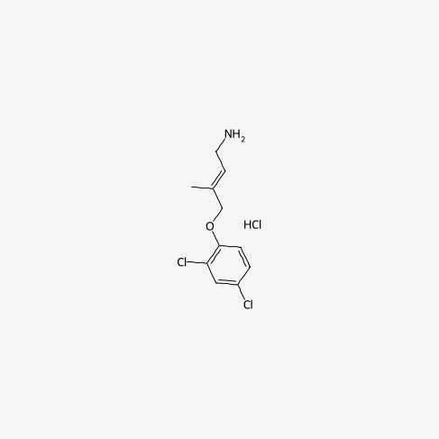 C/C(=C\CN)COc1ccc(Cl)cc1Cl.Cl